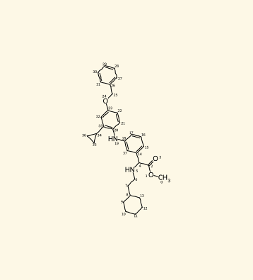 COC(=O)C(NCCC1CCCCC1)c1cccc(Nc2ccc(OCc3ccccc3)cc2C2CC2)c1